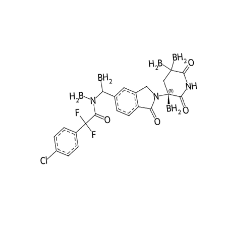 BC(c1ccc2c(c1)CN([C@]1(B)CC(B)(B)C(=O)NC1=O)C2=O)N(B)C(=O)C(F)(F)c1ccc(Cl)cc1